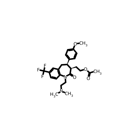 COc1ccc([C@@H]2Cc3cc(C(F)(F)F)ccc3N(CCN(C)C)C(=O)[C@@H]2CCOC(C)=O)cc1